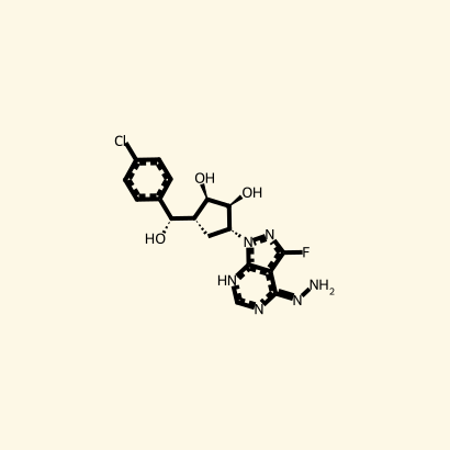 N/N=c1/nc[nH]c2c1c(F)nn2[C@@H]1C[C@H]([C@H](O)c2ccc(Cl)cc2)[C@@H](O)[C@H]1O